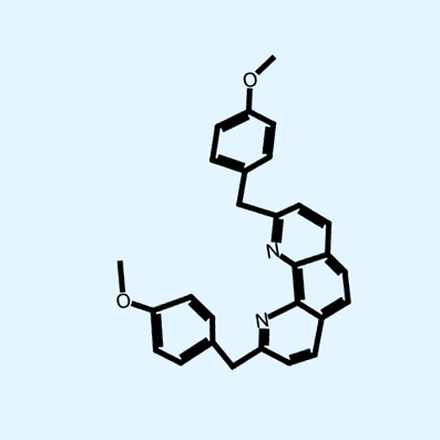 COc1ccc(Cc2ccc3ccc4ccc(Cc5ccc(OC)cc5)nc4c3n2)cc1